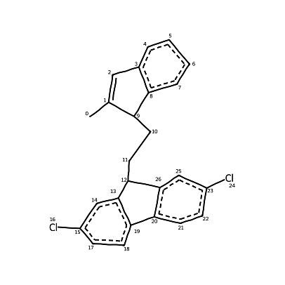 CC1=Cc2ccccc2C1CCC1c2cc(Cl)ccc2-c2ccc(Cl)cc21